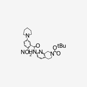 CC(C)(C)OC(=O)N1CCc2ccc(NC(=O)c3cc(N4CCCCC4)ccc3[N+](=O)[O-])nc2C1